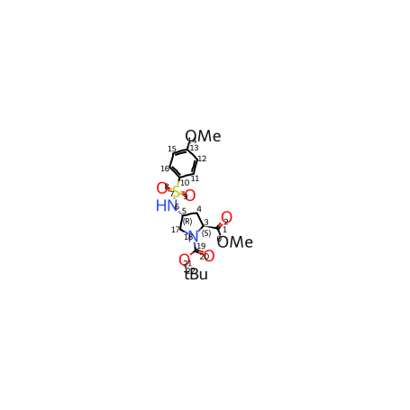 COC(=O)[C@@H]1C[C@@H](NS(=O)(=O)c2ccc(OC)cc2)CN1C(=O)OC(C)(C)C